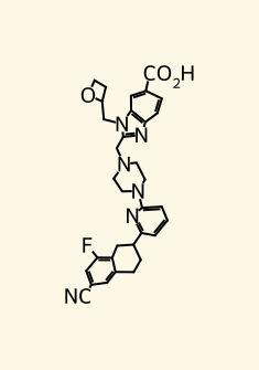 N#Cc1cc(F)c2c(c1)CCC(c1cccc(N3CCN(Cc4nc5ccc(C(=O)O)cc5n4CC4CCO4)CC3)n1)C2